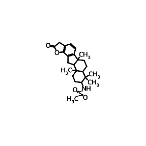 CC12CCC3C(C)(C)C(NS(C)(=O)=O)CCC3(C)C1Cc1c2ccc2c1OC(=O)C2